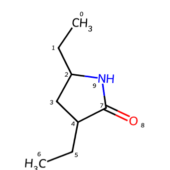 CCC1CC(CC)C(=O)N1